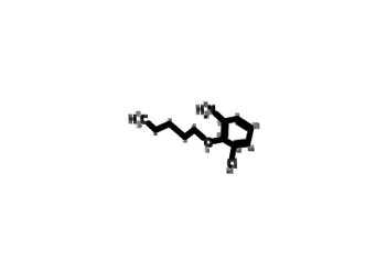 CCCCCOc1c(N)cccc1Cl